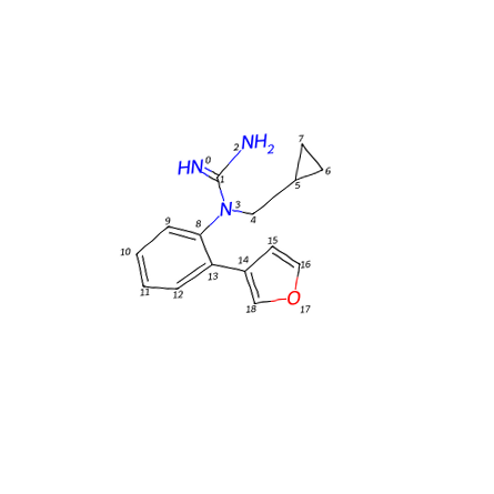 N=C(N)N(CC1CC1)c1ccccc1-c1ccoc1